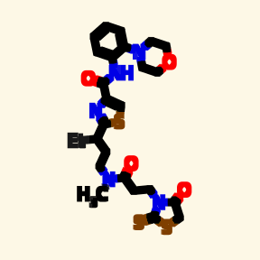 CCC(CCN(C)C(=O)CCN1C(=O)CSC1=S)c1nc(C(=O)Nc2ccccc2N2CCOCC2)cs1